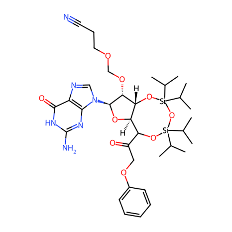 CC(C)[Si]1(C(C)C)OC(C(=O)COc2ccccc2)[C@H]2O[C@@H](n3cnc4c(=O)[nH]c(N)nc43)[C@H](OCOCCC#N)[C@@H]2O[Si](C(C)C)(C(C)C)O1